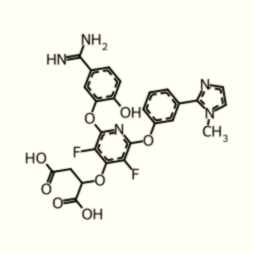 Cn1ccnc1-c1cccc(Oc2nc(Oc3cc(C(=N)N)ccc3O)c(F)c(OC(CC(=O)O)C(=O)O)c2F)c1